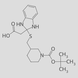 CC(C)(C)OC(=O)N1CCCC(CSC2(CC(=O)O)Nc3ccccc3N2)C1